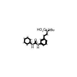 CC(C)(C)N(CCc1cccc(NC(=O)NC2CCCCC2)c1)C(=O)O